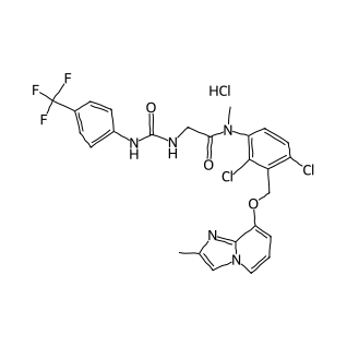 Cc1cn2cccc(OCc3c(Cl)ccc(N(C)C(=O)CNC(=O)Nc4ccc(C(F)(F)F)cc4)c3Cl)c2n1.Cl